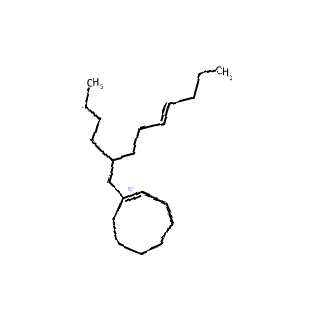 C[CH]CCC(CCC=CCCC)C/C1=C/CCCCCC1